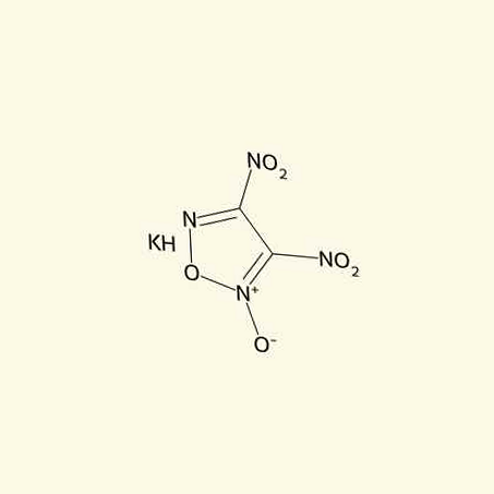 O=[N+]([O-])c1no[n+]([O-])c1[N+](=O)[O-].[KH]